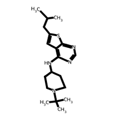 CC(C)Cc1cc2c(NC3CCN(C(C)(C)C)CC3)ncnc2s1